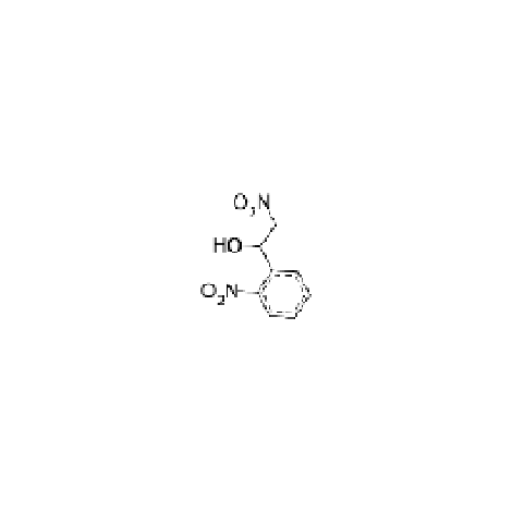 O=[N+]([O-])CC(O)c1ccccc1[N+](=O)[O-]